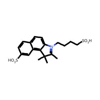 CC1=[N+](CCCCS(=O)(=O)O)c2ccc3ccc(S(=O)(=O)O)cc3c2C1(C)C